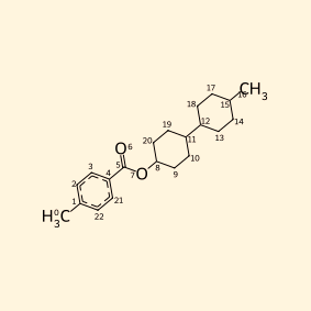 Cc1ccc(C(=O)OC2CCC(C3CCC(C)CC3)CC2)cc1